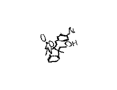 CN(C)c1ccc(C=CC23OC(=O)CN2c2ccccc2C3(C)CCO)cc1